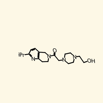 CC(C)c1ccc2c(n1)CCN(C(=O)CN1CCN(CCO)CC1)C2